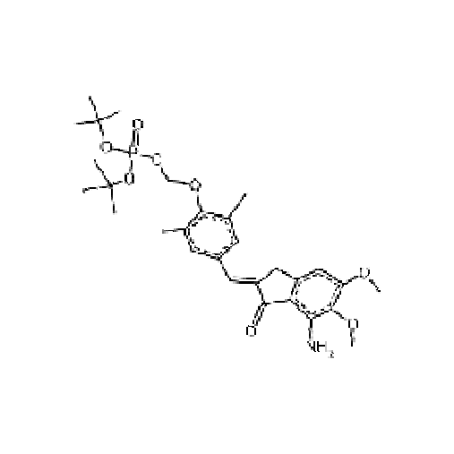 COc1cc2c(c(N)c1OC)C(=O)C(=Cc1cc(C)c(OCOP(=O)(OC(C)(C)C)OC(C)(C)C)c(C)c1)C2